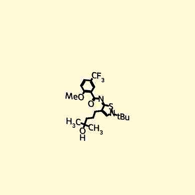 COc1ccc(C(F)(F)F)cc1C(=O)N=c1sn(C(C)(C)C)cc1CCCC(C)(C)O